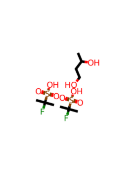 CC(C)(F)S(=O)(=O)O.CC(C)(F)S(=O)(=O)O.CC(O)CCO